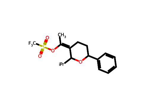 C/C(OS(=O)(=O)C(F)(F)F)=C1\CCC(c2ccccc2)OC1C(C)C